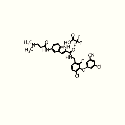 CN(C)CCC(=O)Nc1ccc2[nH]c(C(=O)NCc3ccc(Cl)c(Oc4cc(Cl)cc(C#N)c4)c3F)cc2c1.O=C(O)C(F)(F)F